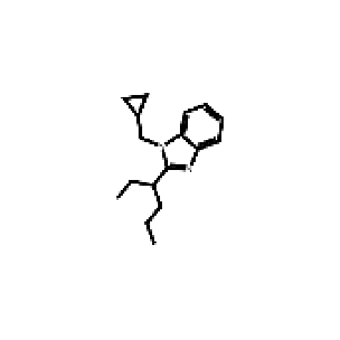 CCCC(CC)c1nc2ccccc2n1CC1CC1